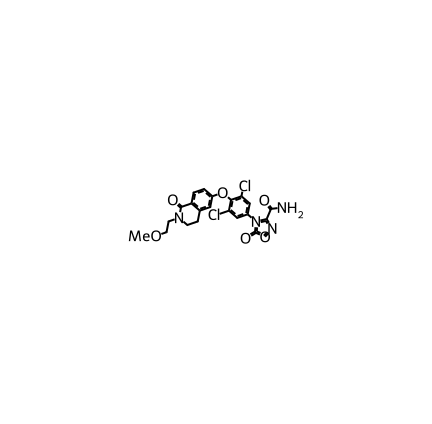 COCCN1CCc2cc(Oc3c(Cl)cc(-n4c(C(N)=O)noc4=O)cc3Cl)ccc2C1=O